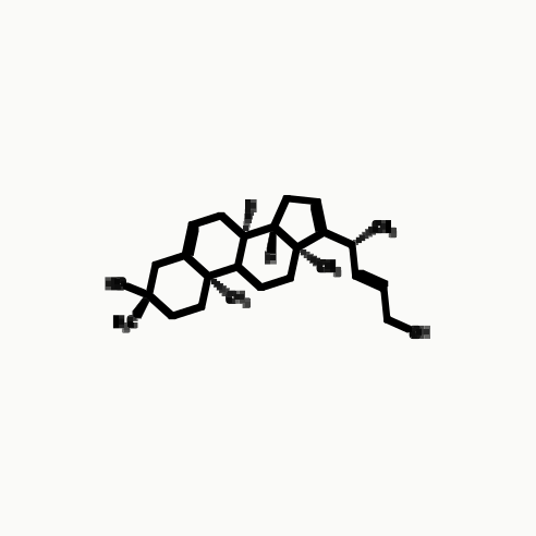 C[C@H](/C=C/CO)C1=CC[C@H]2[C@@H]3CC=C4C[C@@](C)(O)CC[C@]4(C)C3CC[C@]12C